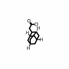 O=C(Cl)CC1[C@H]2C[C@H]3C[C@H](C2)C[C@H]1C3